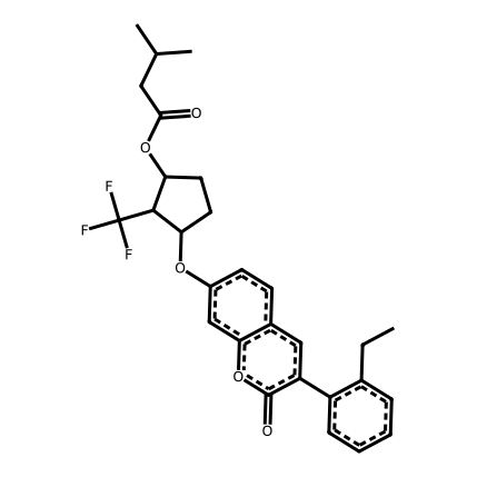 CCc1ccccc1-c1cc2ccc(OC3CCC(OC(=O)CC(C)C)C3C(F)(F)F)cc2oc1=O